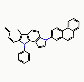 C=C/C=C\c1c(C)c2ccc3c(ccn3-c3ccc4c(ccc5ccccc54)c3)c2n1-c1ccccc1